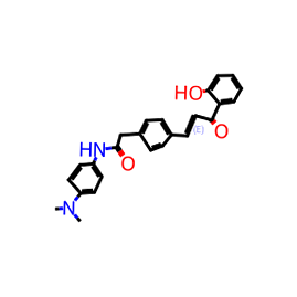 CN(C)c1ccc(NC(=O)Cc2ccc(/C=C/C(=O)c3ccccc3O)cc2)cc1